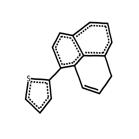 C1=Cc2c(-c3cccs3)ccc3cccc(c23)C1